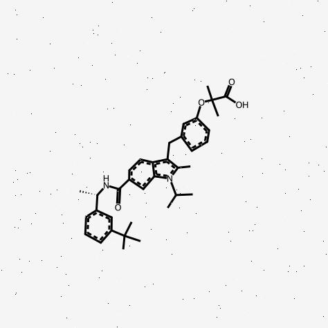 Cc1c(Cc2cccc(OC(C)(C)C(=O)O)c2)c2ccc(C(=O)N[C@@H](C)c3cccc(C(C)(C)C)c3)cc2n1C(C)C